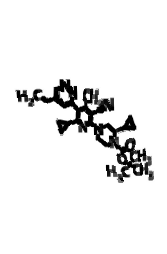 C=Cc1cnnc(-c2c(C3CC3)nc(N3CCN(C(=O)OC(C)(C)C)[C@H](C4CC4)C3)c(C#N)c2C)c1